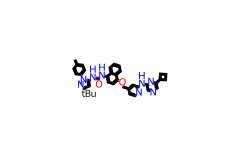 Cc1ccc(-n2nc(C(C)(C)C)cc2NC(=O)Nc2ccc(OCc3ccnc(Nc4cncc(C5CCC5)n4)c3)c3ccccc23)cc1